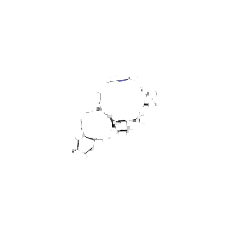 CN1CC/C=C/CCCCN2CCCCc3cc(Cl)ccc3COc3ccc(cc32)[C@@](O)(C(=O)O)CC1=O